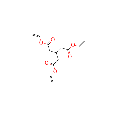 C=COC(=O)CC(CC(=O)OC=C)CC(=O)OC=C